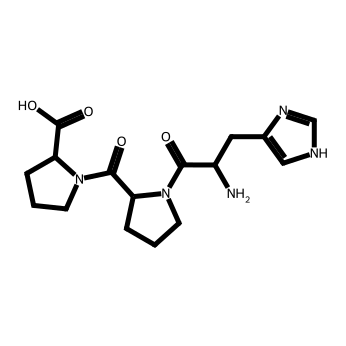 NC(Cc1c[nH]cn1)C(=O)N1CCCC1C(=O)N1CCCC1C(=O)O